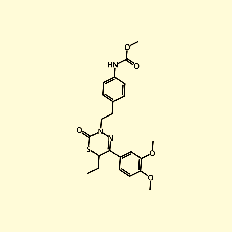 CCC1SC(=O)N(CCc2ccc(NC(=O)OC)cc2)N=C1c1ccc(OC)c(OC)c1